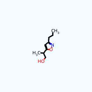 CCCc1cc(C(C)CO)on1